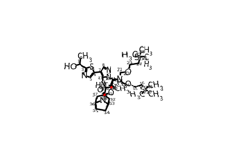 CC(O)c1ncc(-c2cnn3c(N(COCC[Si](C)(C)C)COCC[Si](C)(C)C)cc(C4CC5CCC(C4)N5C(=O)OC(C)(C)C)nc23)s1